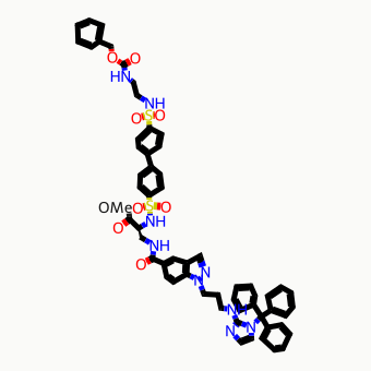 COC(=O)[C@H](CNC(=O)c1ccc2c(cnn2CCCNc2nccn2C(c2ccccc2)(c2ccccc2)c2ccccc2)c1)NS(=O)(=O)c1ccc(-c2ccc(S(=O)(=O)NCCNC(=O)OCc3ccccc3)cc2)cc1